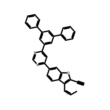 C#Cc1oc2cc(-c3cc(-c4cc(-c5ccccc5)cc(-c5ccccc5)c4)ncn3)ccc2c1/C=C\C